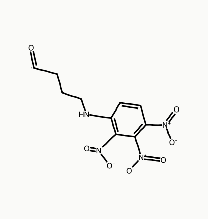 O=[C]CCCNc1ccc([N+](=O)[O-])c([N+](=O)[O-])c1[N+](=O)[O-]